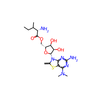 C=C1Sc2c(N(C)C)nc(N)nc2N1[C@@H]1O[C@H](COC(=O)[C@@H](N)C(C)CC)[C@@H](O)[C@H]1O